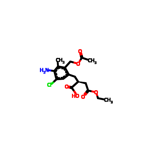 CCOC(=O)C[C@H](Cc1cc(Cl)c(N)c(C)c1COC(C)=O)C(=O)O